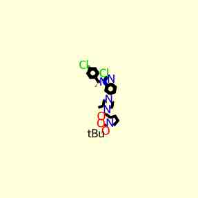 CC1CN(c2ccc3ncn([C@H](C)c4ccc(Cl)cc4Cl)c3c2)CCN1C(=O)C1CCCN1C(=O)OC(C)(C)C